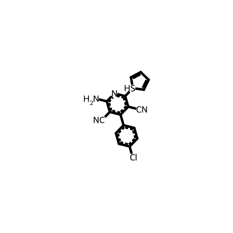 N#Cc1c(N)nc([SH]2C=CC=C2)c(C#N)c1-c1ccc(Cl)cc1